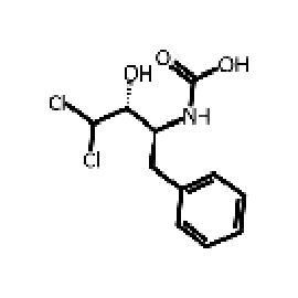 O=C(O)N[C@@H](Cc1ccccc1)[C@@H](O)C(Cl)Cl